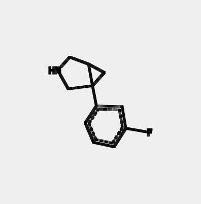 Fc1cccc(C23CNCC2C3)c1